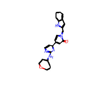 O=c1cc(-c2ccnc(NC3CCOCC3)n2)ccn1Cc1cc2ccccc2[nH]1